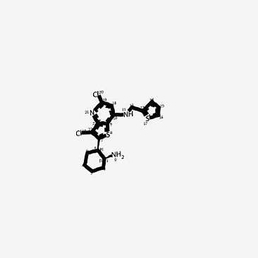 N[C@H]1CCCC[C@H]1c1sc2c(NCc3cccs3)cc(Cl)nc2c1Cl